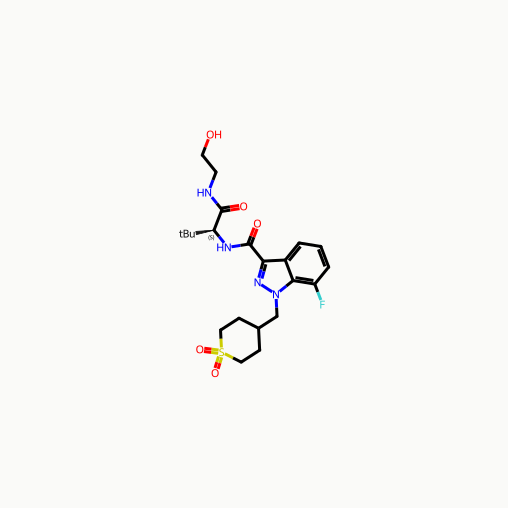 CC(C)(C)[C@H](NC(=O)c1nn(CC2CCS(=O)(=O)CC2)c2c(F)cccc12)C(=O)NCCO